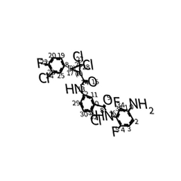 Nc1ccc(F)c(NC(=O)c2cc(NC(=O)[C@H]3[C@H](c4ccc(F)c(Cl)c4)C3(Cl)Cl)ccc2Cl)c1F